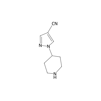 N#Cc1cnn(C2CCNCC2)c1